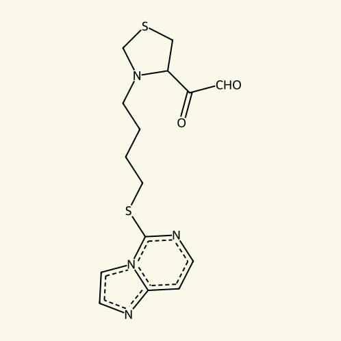 O=CC(=O)C1CSCN1CCCCSc1nccc2nccn12